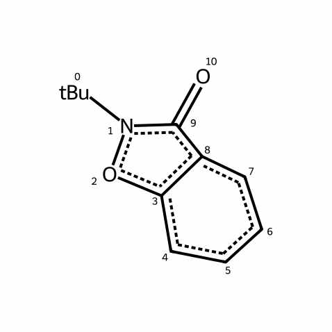 CC(C)(C)n1oc2ccccc2c1=O